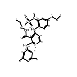 CCONC(=O)c1c(Nc2ccc(OCC)cc2N(C)S(C)(=O)=O)ccnc1Nc1cc(C)nc(C)n1